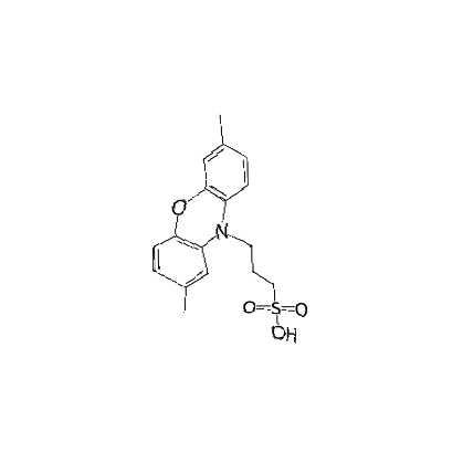 Cc1ccc2c(c1)Oc1ccc(C)cc1N2CCCS(=O)(=O)O